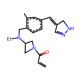 C=CC(=O)N1CC(N(CC)Cc2ccc(/C=C3\C=NNC3)cc2C)C1